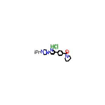 CC(C)N1CCN(c2ccc(-c3ccc(C(=O)N4CCCCC4)cc3)cn2)CC1.Cl.Cl